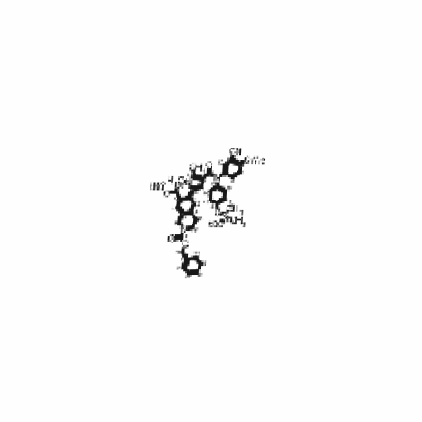 COc1ccc(N(C(=O)c2cc(-c3cc4c(cc3C(=O)OC(C)(C)C)CN(C(=O)OCc3ccccc3)CC4)n(C)c2C)c2ccc(O[Si](C)(C)C(C)(C)C)cc2)cc1C#N